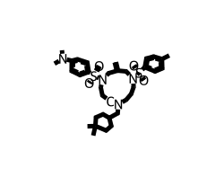 C=C1CN(S(=O)(=O)c2ccc(C)cc2)CCCN(CC2CCC(C)(C)CC2)CCCN(S(=O)(=O)c2ccc(N(C)C)cc2)C1